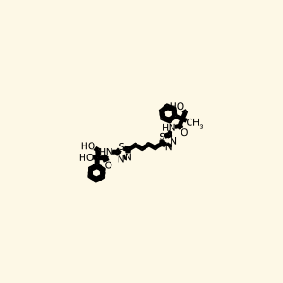 CC(CO)(C(=O)Nc1nnc(CCCCc2nnc(NC(=O)C(O)(CO)c3ccccc3)s2)s1)c1ccccc1